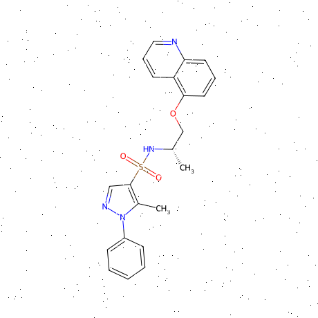 Cc1c(S(=O)(=O)N[C@@H](C)COc2cccc3ncccc23)cnn1-c1ccccc1